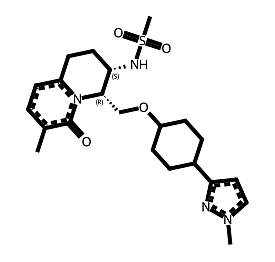 Cc1ccc2n(c1=O)[C@@H](COC1CCC(c3ccn(C)n3)CC1)[C@@H](NS(C)(=O)=O)CC2